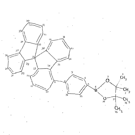 CC1(C)OB(c2ccc(-c3cccc4c3-c3ccccc3C43c4ccccc4-c4ccccc43)cc2)OC1(C)C